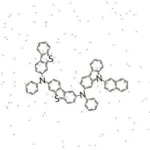 c1ccc(N(c2ccc3c(c2)sc2ccccc23)c2ccc3c(c2)sc2ccc(N(c4ccccc4)c4ccc5c6ccccc6n(-c6ccc7ccccc7c6)c5c4)cc23)cc1